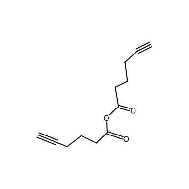 C#CCCCC(=O)OC(=O)CCCC#C